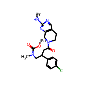 CC(C)Nc1ncc2c(n1)CN(C(=O)CC(CN(C)C(=O)OC(C)(C)C)c1ccc(Cl)cc1)CC2